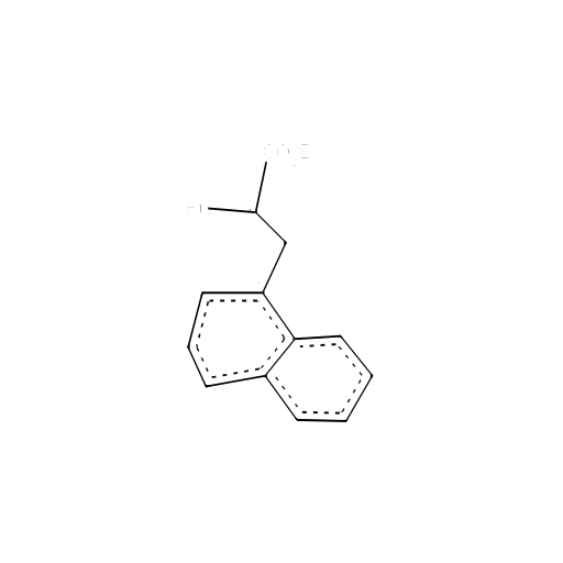 CCOC(=O)C(CC)Cc1cccc2ccccc12